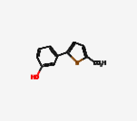 O=C(O)c1ccc(-c2cccc(O)c2)s1